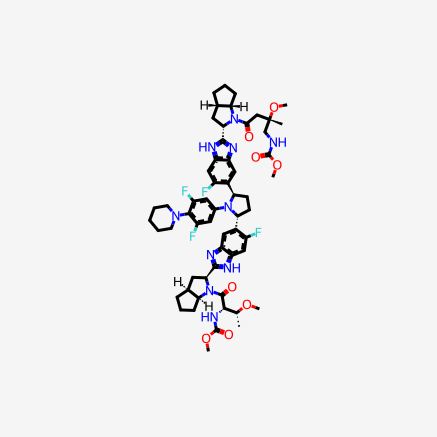 COC(=O)NC[C@](C)(CC(=O)N1[C@H](c2nc3cc([C@H]4CC[C@H](c5cc6nc([C@@H]7C[C@@H]8CCC[C@@H]8N7C(=O)[C@@H](NC(=O)OC)[C@@H](C)OC)[nH]c6cc5F)N4c4cc(F)c(N5CCCCC5)c(F)c4)c(F)cc3[nH]2)C[C@@H]2CCC[C@@H]21)OC